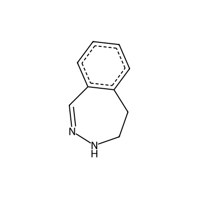 C1=NNCCc2ccccc21